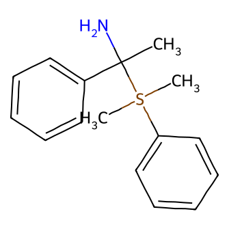 CC(N)(c1ccccc1)S(C)(C)c1ccccc1